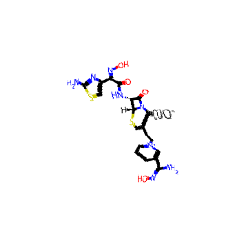 N/C(=N/O)c1ccc[n+](CC2=C(C(=O)[O-])N3C(=O)[C@@H](NC(=O)/C(=N\O)c4csc(N)n4)[C@H]3SC2)c1